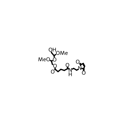 COC(CO)OC(COC(=O)CCCC(=O)NCCN1C(=O)C=CC1=O)OC